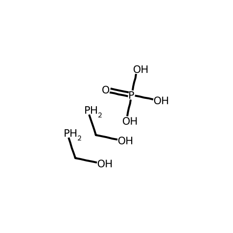 O=P(O)(O)O.OCP.OCP